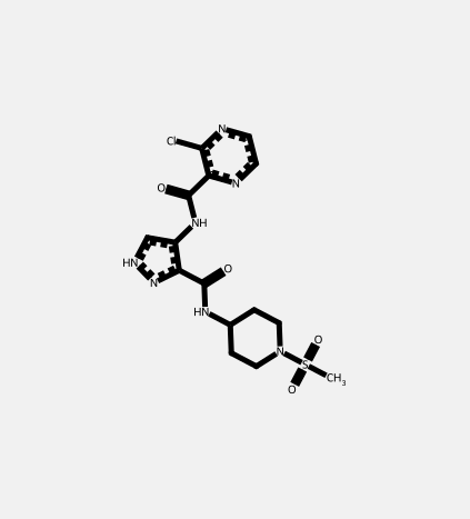 CS(=O)(=O)N1CCC(NC(=O)c2n[nH]cc2NC(=O)c2nccnc2Cl)CC1